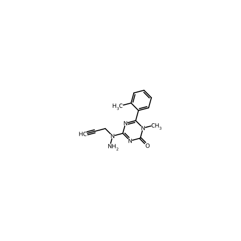 C#CCN(N)c1nc(-c2ccccc2C)n(C)c(=O)n1